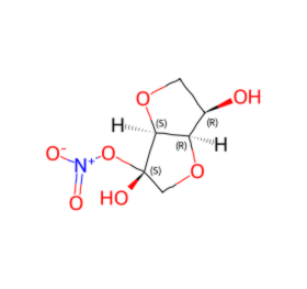 O=[N+]([O-])O[C@@]1(O)CO[C@@H]2[C@H](O)CO[C@@H]21